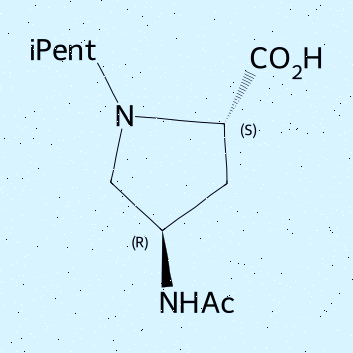 CCCC(C)N1C[C@H](NC(C)=O)C[C@H]1C(=O)O